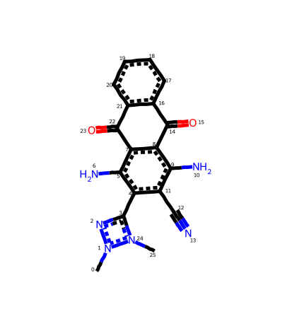 Cn1nc(-c2c(N)c3c(c(N)c2C#N)C(=O)c2ccccc2C3=O)n1C